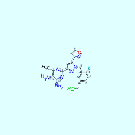 Cc1nc(-c2cc(-c3ccon3)n(Cc3ccccc3F)n2)nc(N)c1N.Cl